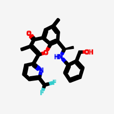 Cc1cc([C@@H](C)Nc2ccccc2CO)c2oc(-c3cccc(C(F)F)n3)c(C)c(=O)c2c1